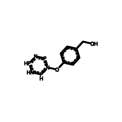 OCc1ccc(On2pn[pH][nH][pH]2)cc1